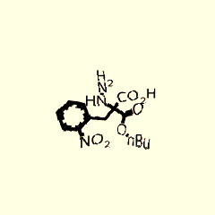 CCCCOC(=O)C(Cc1ccccc1[N+](=O)[O-])(NN)C(=O)O